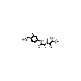 Cc1cc(NC(=O)[C@H](C)NC(=O)[C@@H](N)C(C)C)ccc1CO